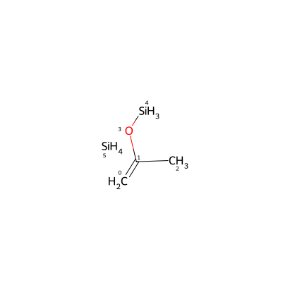 C=C(C)O[SiH3].[SiH4]